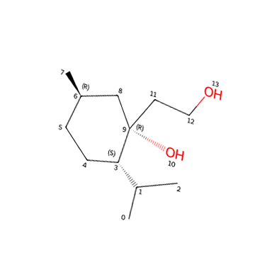 CC(C)[C@@H]1CC[C@@H](C)C[C@@]1(O)CCO